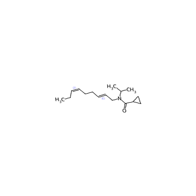 CC/C=C\CC/C=C/CN(C(=O)C1CC1)C(C)C